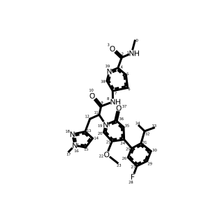 CNC(=O)c1ccc(NC(=O)C(Cc2ccn(C)n2)n2cc(OC)c(-c3cc(F)ccc3C(C)C)cc2=O)cn1